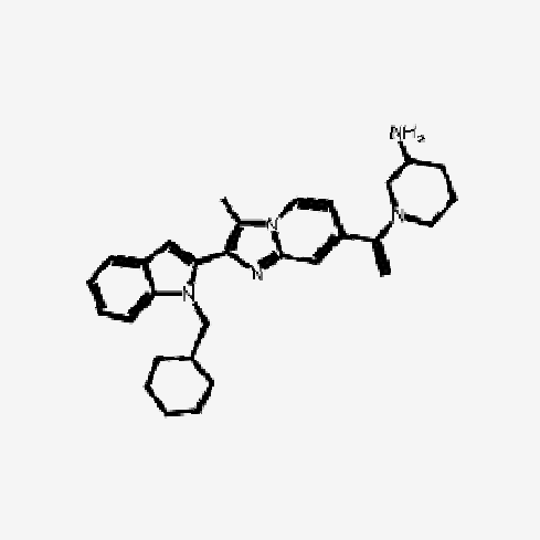 C=C(c1ccn2c(C)c(-c3cc4ccccc4n3CC3CCCCC3)nc2c1)N1CCCC(N)C1